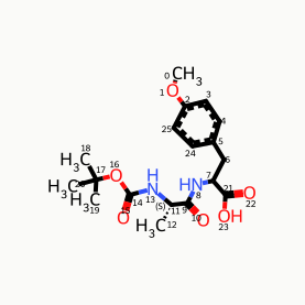 COc1ccc(CC(NC(=O)[C@H](C)NC(=O)OC(C)(C)C)C(=O)O)cc1